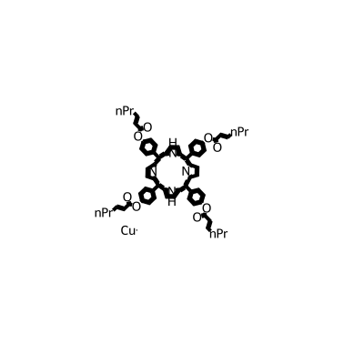 CCCC=CC(=O)Oc1ccc(-c2c3nc(c(-c4ccc(OC(=O)C=CCCC)cc4)c4ccc([nH]4)c(-c4ccc(OC(=O)C=CCCC)cc4)c4nc(c(-c5ccc(OC(=O)C=CCCC)cc5)c5ccc2[nH]5)C=C4)C=C3)cc1.[Cu]